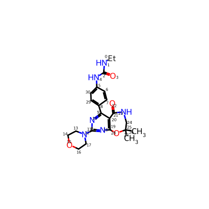 CCNC(=O)Nc1ccc(-c2nc(N3CCOCC3)nc3c2C(=O)NCC(C)(C)O3)cc1